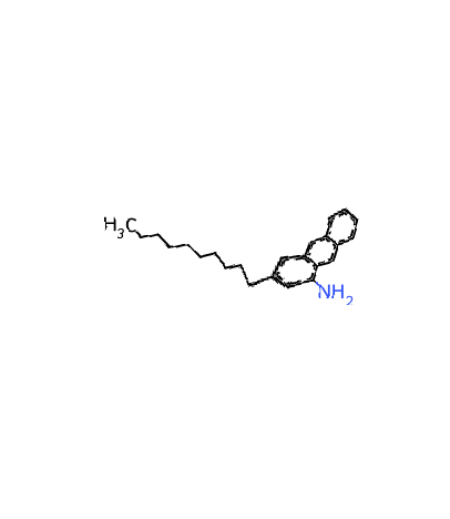 CCCCCCCCCCc1cc(N)c2cc3ccccc3cc2c1